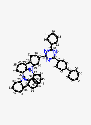 c1ccc(-c2ccc(-c3nc(-c4ccccc4)nc(-c4ccc5c6cccc(-n7c8ccccc8c8ccccc87)c6n(-c6ccccc6)c5c4)n3)cc2)cc1